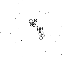 O=C1C2CC=CC=C2S(=O)(=O)N1CCCCNCC1CCc2ccc3c(c2O1)CCCC3